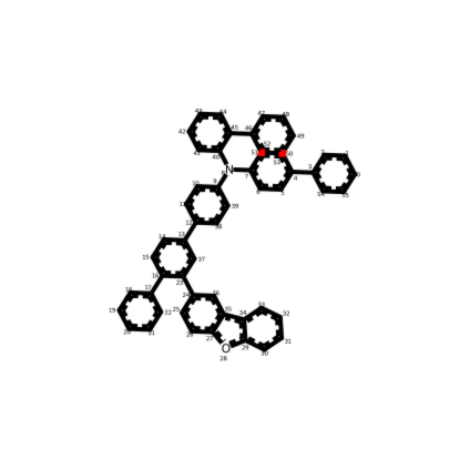 c1ccc(-c2ccc(N(c3ccc(-c4ccc(-c5ccccc5)c(-c5ccc6oc7ccccc7c6c5)c4)cc3)c3ccccc3-c3ccccc3)cc2)cc1